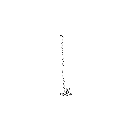 CCO[Si](CCCCCCCCCCCCCCCCCCCCCCCCCCCCS)(OCC)OCC